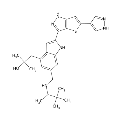 CC(NCc1cc(CC(C)(C)O)c2cc(-c3n[nH]c4cc(-c5cn[nH]c5)sc34)[nH]c2c1)C(C)(C)C